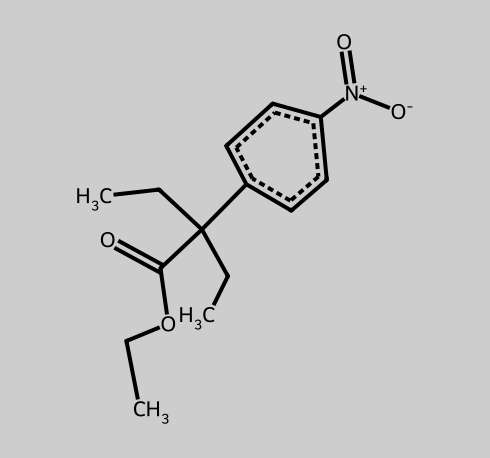 CCOC(=O)C(CC)(CC)c1ccc([N+](=O)[O-])cc1